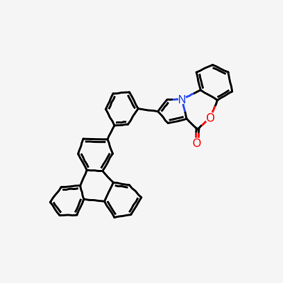 O=c1oc2ccccc2n2cc(-c3cccc(-c4ccc5c6ccccc6c6ccccc6c5c4)c3)cc12